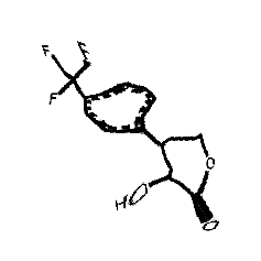 O=C1OCC(c2ccc(C(F)(F)F)cc2)C1O